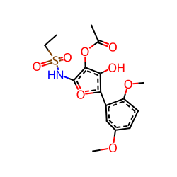 CCS(=O)(=O)Nc1oc(-c2cc(OC)ccc2OC)c(O)c1OC(C)=O